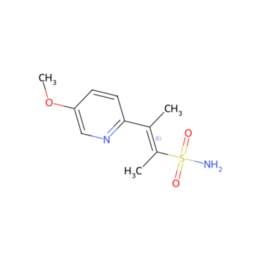 COc1ccc(/C(C)=C(\C)S(N)(=O)=O)nc1